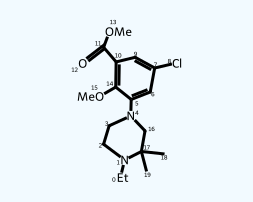 CCN1CCN(c2cc(Cl)cc(C(=O)OC)c2OC)CC1(C)C